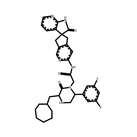 O=C(CN1C(=O)C(CC2CCCCCC2)NCC1c1cc(F)cc(F)c1)Nc1cc2c(cn1)CC1(C2)C(=O)Nc2ncccc21